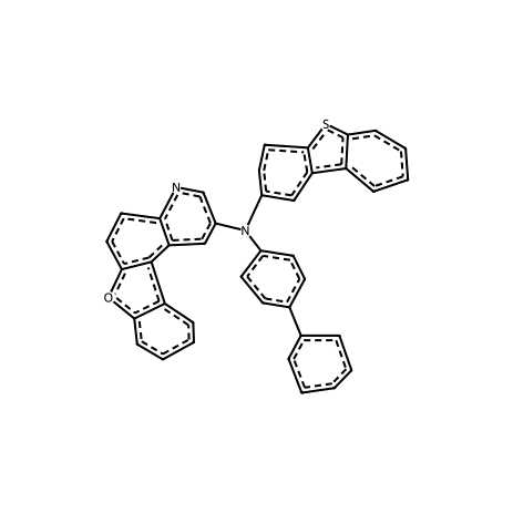 c1ccc(-c2ccc(N(c3ccc4sc5ccccc5c4c3)c3cnc4ccc5oc6ccccc6c5c4c3)cc2)cc1